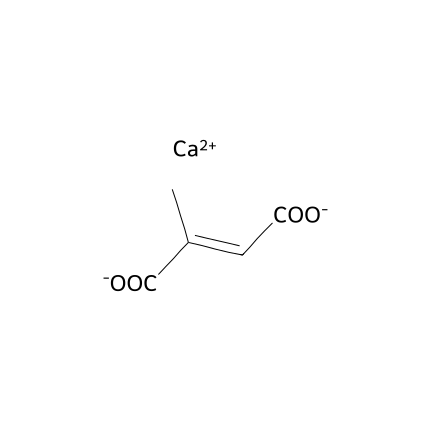 CC(=CC(=O)[O-])C(=O)[O-].[Ca+2]